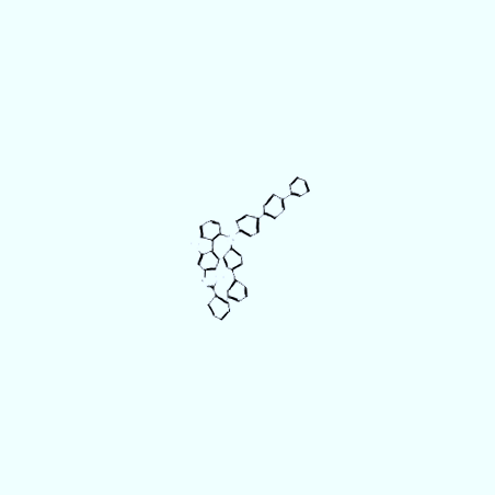 c1ccc(-c2ccc(-c3ccc(N(c4ccc(-c5ccccc5)cc4)c4cccc5oc6cc7nc(-c8ccccc8)oc7cc6c45)cc3)cc2)cc1